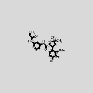 C=CC(=O)Nc1cc(NC(=O)[C@@H]2S[C@@](C)(C(F)(F)F)C[C@H]2c2ccc(F)c(F)c2OC)ccn1